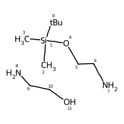 CC(C)(C)[Si](C)(C)OCCN.NCCO